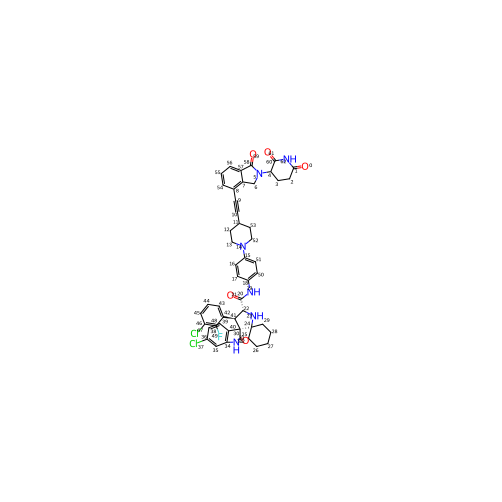 O=C1CCC(N2Cc3c(C#CC4CCN(c5ccc(NC(=O)[C@@H]6NC7(CCCCC7)[C@@]7(C(=O)Nc8cc(Cl)ccc87)[C@H]6c6cccc(Cl)c6F)cc5)CC4)cccc3C2=O)C(=O)N1